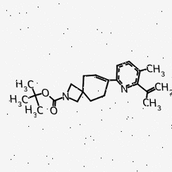 C=C(C)c1nc(C2=CCC3(CC2)CN(C(=O)OC(C)(C)C)C3)ccc1C